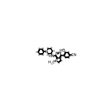 Cn1ccc2c(-c3ccc(C#N)cc3O)nnc(N[C@@H]3CCCN(c4ccccc4)C3)c21